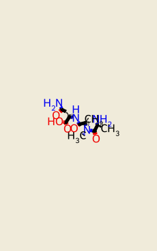 C[C@H](N)C(=O)N(C)[C@@H](C)C(=O)N[C@@H](CC(N)=O)C(=O)O